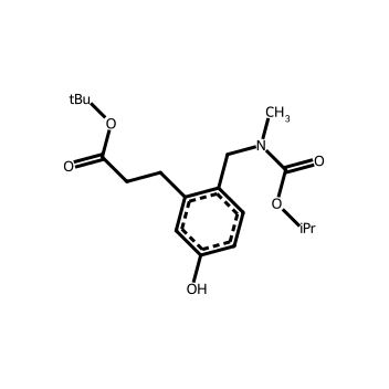 CC(C)OC(=O)N(C)Cc1ccc(O)cc1CCC(=O)OC(C)(C)C